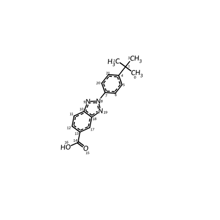 CC(C)(C)c1ccc(-n2nc3ccc(C(=O)O)cc3n2)cc1